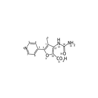 Cc1c(-c2ccncc2)oc(C(=O)O)c1NC(N)=O